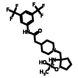 C[N+]([O-])(O)NC1(CN2CCC(CC(=O)Nc3cc(C(F)(F)F)cc(C(F)(F)F)c3)CC2)CCCC1